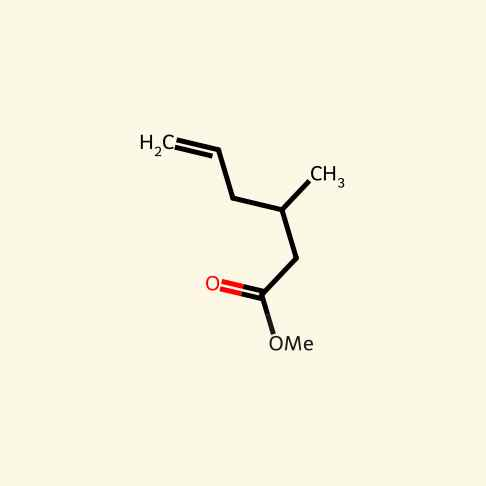 C=CCC(C)CC(=O)OC